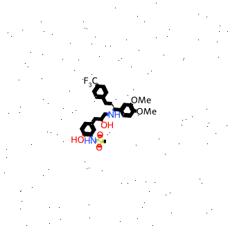 COc1ccc([C@@H](CCc2ccc(C(F)(F)F)cc2)NC[C@@H](O)Cc2ccc(O)c(NS(C)(=O)=O)c2)cc1OC